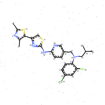 Cc1nc(C)c(-c2csc(Nc3ccc(CN(CC(C)C)c4ccc(Cl)cc4F)cn3)n2)s1